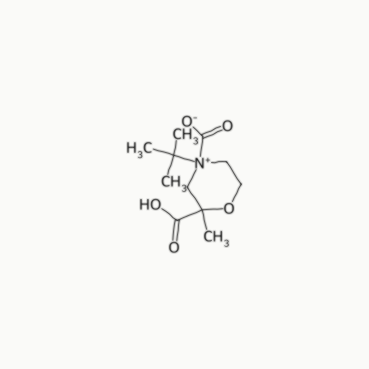 CC1(C(=O)O)C[N+](C(=O)[O-])(C(C)(C)C)CCO1